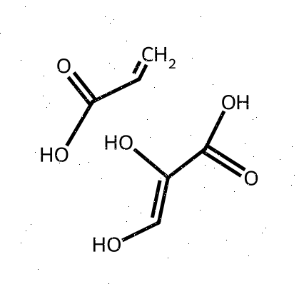 C=CC(=O)O.O=C(O)C(O)=CO